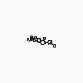 O=C1c2ccc(OS(=O)(=O)C(F)(F)F)cc2CCN1C1CCN(C2CCC2)C1